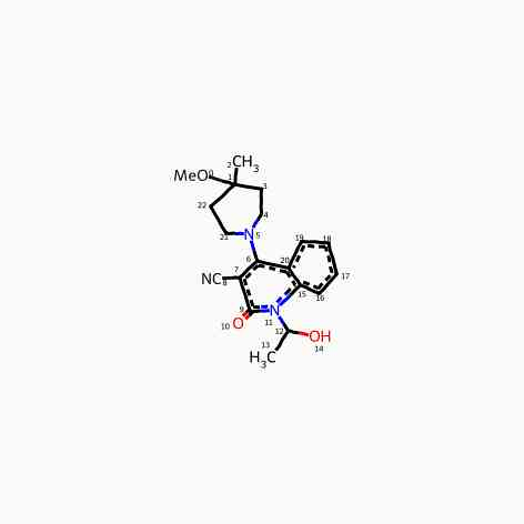 COC1(C)CCN(c2c(C#N)c(=O)n(C(C)O)c3ccccc23)CC1